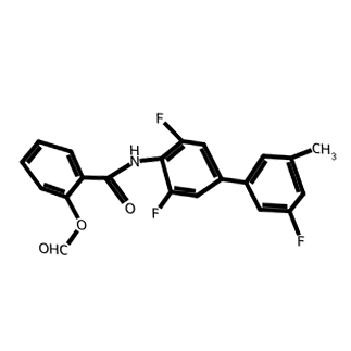 Cc1cc(F)cc(-c2cc(F)c(NC(=O)c3ccccc3OC=O)c(F)c2)c1